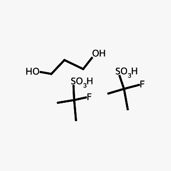 CC(C)(F)S(=O)(=O)O.CC(C)(F)S(=O)(=O)O.OCCCO